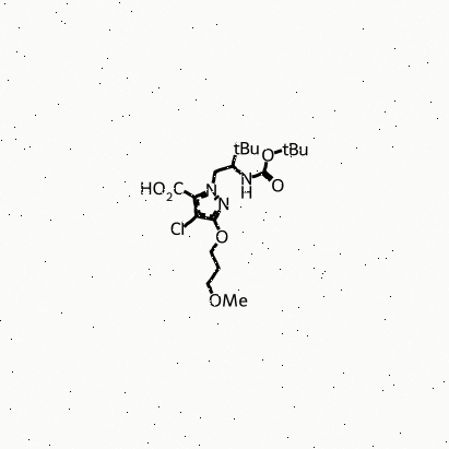 COCCCOc1nn(CC(NC(=O)OC(C)(C)C)C(C)(C)C)c(C(=O)O)c1Cl